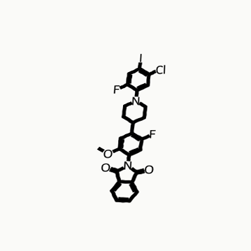 COc1cc(C2CCN(c3cc(Cl)c(I)cc3F)CC2)c(F)cc1N1C(=O)c2ccccc2C1=O